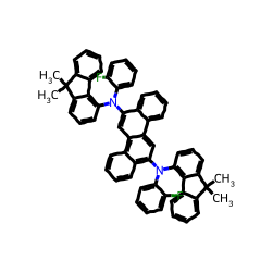 CC1(C)c2ccccc2-c2c(N(c3ccccc3F)c3cc4c5ccccc5c(N(c5ccccc5F)c5cccc6c5-c5ccccc5C6(C)C)cc4c4ccccc34)cccc21